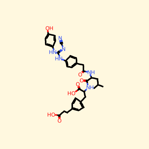 CC(C)CC(NC(=O)Cc1ccc(NC(=NC#N)Nc2ccc(O)cc2)cc1)C(=O)NC(Cc1ccc(CCC(=O)O)cc1)C(=O)O